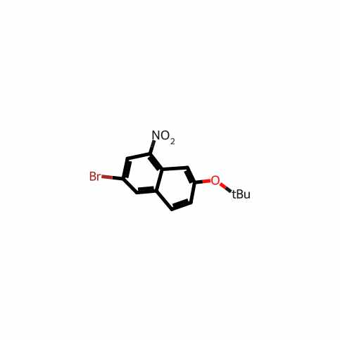 CC(C)(C)Oc1ccc2cc(Br)cc([N+](=O)[O-])c2c1